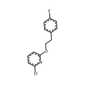 Fc1ccc(CCOc2cccc(Cl)n2)cc1